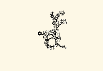 CC1C[C@H](NC(=O)[C@H](CCCNC(=N)N)NC(=O)[C@@H]2CCCN2C(=O)[C@H](CCCNC(=N)N)NC(=O)[C@@H]2CCC(=O)N2)C(=O)N1[C@H]1CSC[C@@H](C(=O)N[C@@H](Cc2ccccc2)C(=O)O)NC(=O)[C@@H]2CCCN(C1=O)[C@@H](Cc1cnc[nH]1)C(=O)N[C@@H](CCCCN)C(=O)NCC(=O)N1CCC[C@H]1C(=O)N2